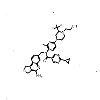 Cc1nc(N2CCN(CCO)C(C(F)(F)F)C2)ccc1N(Cc1ccc2c3c(c(N)nc2c1)COC3)C(=O)c1cnc(C2CC2)nc1